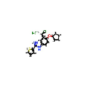 Cl.N=C(Nc1ccc(OC2CCCC2)c(CCl)c1)c1cccs1